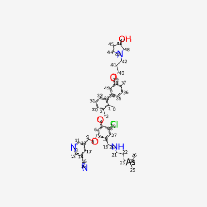 Cc1c(COc2cc(OCc3cncc(C#N)c3)c(CNCCC[As](C)C)cc2Cl)cccc1-c1cccc(OCCCN2CCC(O)C2)c1